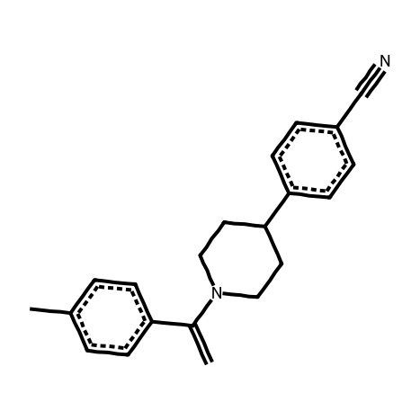 C=C(c1ccc(C)cc1)N1CCC(c2ccc(C#N)cc2)CC1